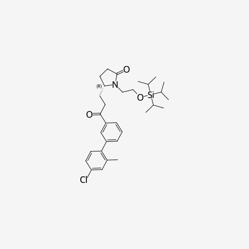 Cc1cc(Cl)ccc1-c1cccc(C(=O)CC[C@@H]2CCC(=O)N2CCO[Si](C(C)C)(C(C)C)C(C)C)c1